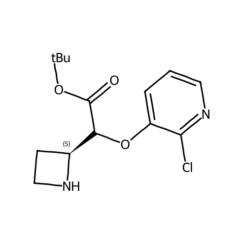 CC(C)(C)OC(=O)C(Oc1cccnc1Cl)[C@@H]1CCN1